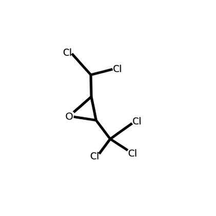 ClC(Cl)C1OC1C(Cl)(Cl)Cl